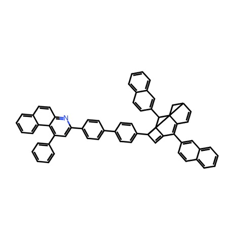 C1=CC2CC3C1=C(c1ccc4ccccc4c1)C1=CC2(c2ccc(-c4ccc(-c5cc(-c6ccccc6)c6c(ccc7ccccc76)n5)cc4)cc2)C1C3c1ccc2ccccc2c1